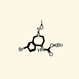 CC(C)(C)OC(=O)NC1CCN(SOI)Cc2cc(Br)ccc21